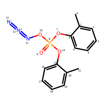 Cc1ccccc1OP(=O)(ON=[N+]=[N-])Oc1ccccc1C